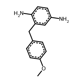 COc1ccc(Cc2cc(N)ccc2N)cc1